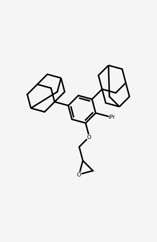 CC(C)c1c(OCC2CO2)cc(C23CC4CC(CC(C4)C2)C3)cc1C12CC3CC(CC(C3)C1)C2